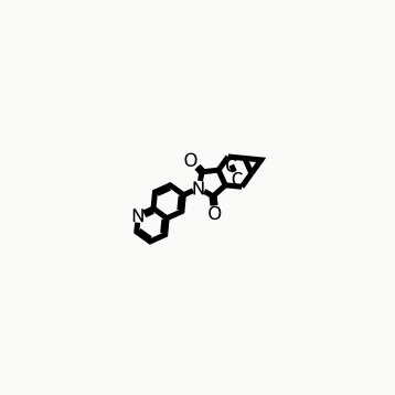 O=C1C2C3CCC(C4CC43)C2C(=O)N1c1ccc2ncccc2c1